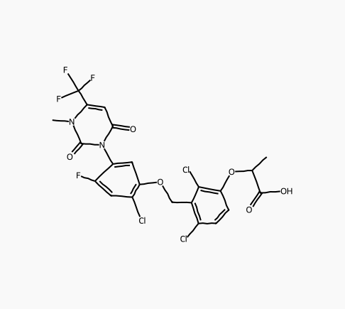 CC(Oc1ccc(Cl)c(COc2cc(-n3c(=O)cc(C(F)(F)F)n(C)c3=O)c(F)cc2Cl)c1Cl)C(=O)O